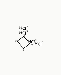 C1CCC1.Cl.Cl.Cl.Cl